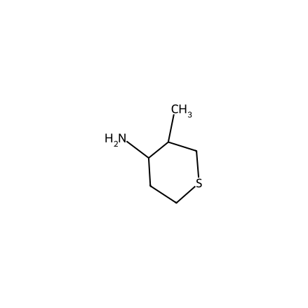 CC1CSCCC1N